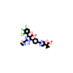 COC(=O)C1=C(C2CCC(c3ncc(C4(C(=O)OC)CC4)cn3)CC2)NC(c2nccs2)=NC1c1ccc(F)c(F)c1Cl